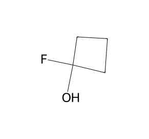 OC1(F)CCC1